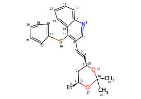 CC[C@H]1C[C@@H](/C=C/c2cnc3ccccc3c2Sc2ccccc2)OC(C)(C)O1